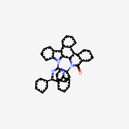 O=c1c2ccccc2c2c3ccccc3c3c4ccccc4n(-c4nc(-c5ccccc5)c5ccccc5n4)c3c2n1-c1ccccc1